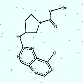 CC(C)(C)OC(=O)N1CCC(Nc2ncc3ncnc(Cl)c3n2)C1